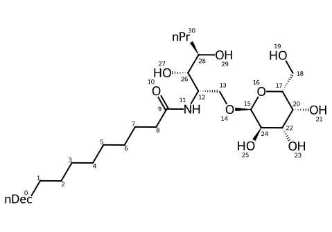 CCCCCCCCCCCCCCCCCCC(=O)N[C@@H](CO[C@H]1O[C@H](CO)[C@H](O)[C@H](O)[C@H]1O)[C@H](O)[C@H](O)CCC